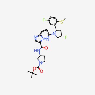 CSc1ccc(F)cc1[C@H]1C[C@H](F)CN1c1ccc2ncc(C(=O)N[C@H]3CCN(C(=O)OC(C)(C)C)C3)n2n1